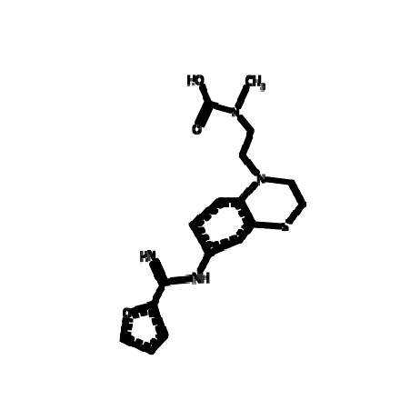 CN(CCN1CCSc2cc(NC(=N)c3ccco3)ccc21)C(=O)O